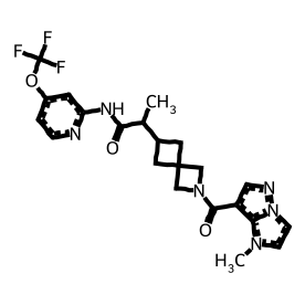 CC(C(=O)Nc1cc(OC(F)(F)F)ccn1)C1CC2(C1)CN(C(=O)c1cnn3ccn(C)c13)C2